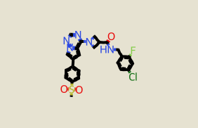 CS(=O)(=O)c1ccc(-c2cc3c(N4CC(C(=O)NCc5ccc(Cl)cc5F)C4)ncnn3c2)cc1